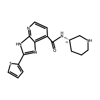 O=C(N[C@H]1CCCNC1)c1ccnc2[nH]c(-c3cccs3)nc12